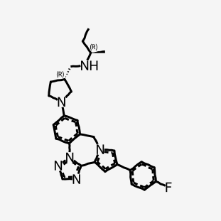 CC[C@@H](C)NC[C@H]1CCN(c2ccc3c(c2)Cn2cc(-c4ccc(F)cc4)cc2-c2ncnn2-3)C1